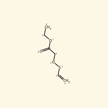 C=CSOCC(=O)OCC